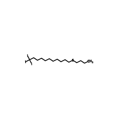 CCCCSCCCCCCCCCCC(I)(I)I